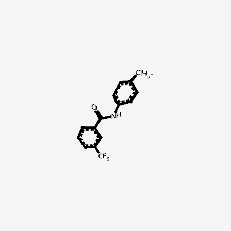 [CH2]c1ccc(NC(=O)c2cccc(C(F)(F)F)c2)cc1